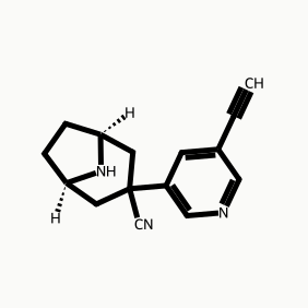 C#Cc1cncc(C2(C#N)C[C@H]3CC[C@@H](C2)N3)c1